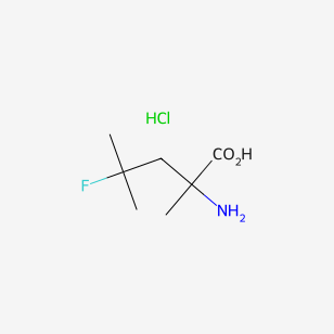 CC(C)(F)CC(C)(N)C(=O)O.Cl